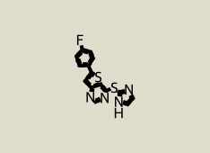 Fc1ccc(-c2cc3ncnc(Sc4ncc[nH]4)c3s2)cc1